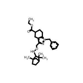 CCOC(=O)C1CCc2c(c(CONC3C4(C)CCC(C4)C3(C)C)nn2Cc2ccccc2)C1